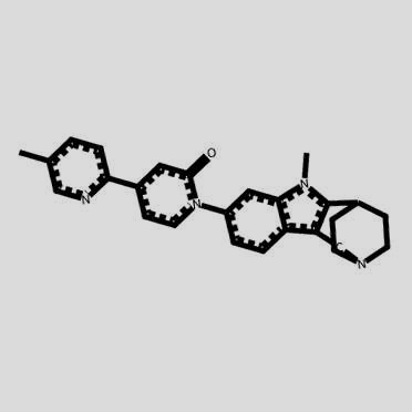 Cc1ccc(-c2ccn(-c3ccc4c5c(n(C)c4c3)C3CCN(CC3)C5)c(=O)c2)nc1